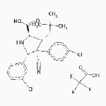 CC(C)(C)C[C@H]1[C@H](C(=O)O)N[C@@H](c2cccc(Cl)c2)[C@]1(C#N)c1ccc(Cl)cc1.O=C(O)C(F)(F)F